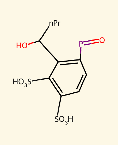 CCCC(O)c1c(P=O)ccc(S(=O)(=O)O)c1S(=O)(=O)O